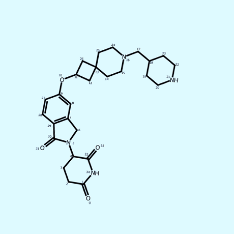 O=C1CCC(N2Cc3cc(OC4CC5(CCN(CC6CCNCC6)CC5)C4)ccc3C2=O)C(=O)N1